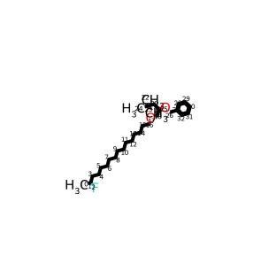 CC(F)CCCCCCCCCCCCCCOCC(CC(C)(C)C)OCc1ccccc1